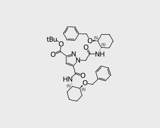 CC(C)(C)OC(=O)c1cc(C(=O)N[C@H]2CCCC[C@@H]2OCc2ccccc2)n(CC(=O)N[C@H]2CCCC[C@@H]2OCc2ccccc2)n1